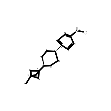 CC[SiH2]c1ccc([C@H]2CC[C@H](C34CC(C)(C3)C4)CC2)cc1